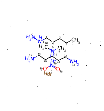 Br.CCCCCNN.CNC.NCCCCCN.O=[NH+][O-]